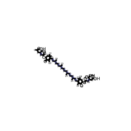 CC(=O)C/C(=C/C(=O)OC1CC(C)(C)C(/C=C/C(C)=C/C=C/C(C)=C/C=C/C=C(C)/C=C/C=C(C)/C=C/C2=C(C)C(=O)C(OC(=O)/C=C(/CC(=O)O)C(=O)O)CC2(C)C)=C(C)C1=O)C(=O)O